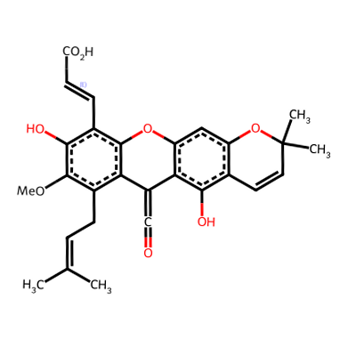 COc1c(O)c(/C=C/C(=O)O)c2c(c1CC=C(C)C)C(=C=O)c1c(cc3c(c1O)C=CC(C)(C)O3)O2